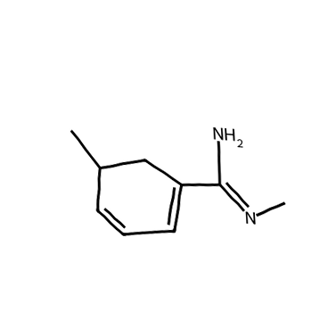 C/N=C(\N)C1=CC=CC(C)C1